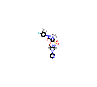 Cc1cc(NC(=O)c2c3c(cn2C)S(=O)(=O)N[C@@H]2CN(c4cccnc4)C[C@@H]2CO3)ccc1F